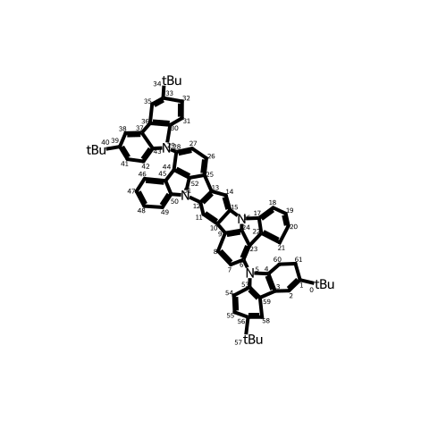 CC(C)(C)C1=Cc2c(n(-c3ccc4c5cc6c(cc5n5c7ccccc7c3c45)c3ccc(-n4c5ccc(C(C)(C)C)cc5c5cc(C(C)(C)C)ccc54)c4c5ccccc5n6c34)c3ccc(C(C)(C)C)cc23)CC1